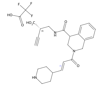 C#C[C@@H](CNC(=O)C1CN(C(=O)/C=C/C2CCNCC2)Cc2ccccc21)C(=O)O.O=C(O)C(F)(F)F